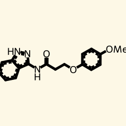 COc1ccc(OCCC(=O)Nc2n[nH]c3ccccc23)cc1